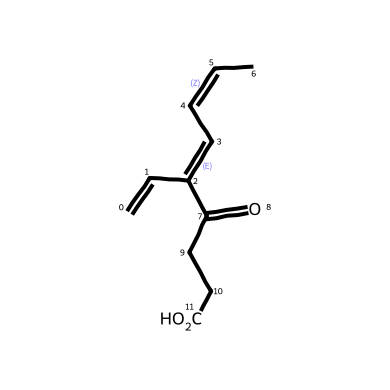 C=C/C(=C\C=C/C)C(=O)CCC(=O)O